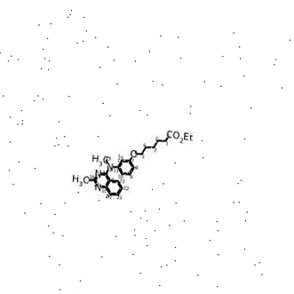 CCOC(=O)CCCCCOc1cccc(N(C)c2nc(C)nc3ccccc23)c1